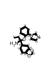 CCC(N)(Oc1ccccc1-n1ccnc1)c1ccc2c(c1)OCO2